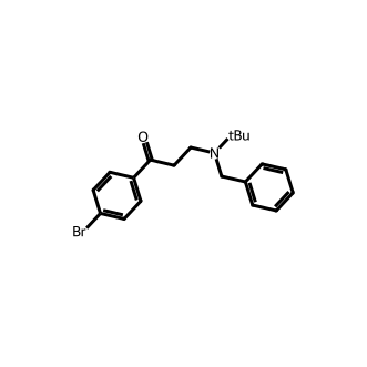 CC(C)(C)N(CCC(=O)c1ccc(Br)cc1)Cc1ccccc1